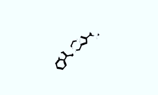 O=C(NO)c1cc2n(c1)CCN(C(=O)c1csc3ccccc13)C2